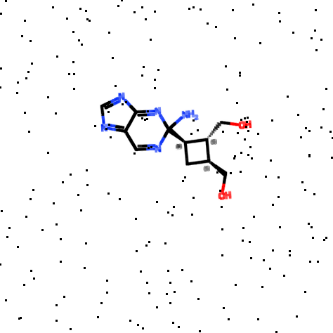 NC1([C@@H]2C[C@H](CO)[C@H]2CO)N=CC2=NC=NC2=N1